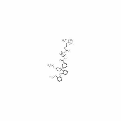 CCc1ccccc1Oc1ccccc1[C@](O)(CCCCOC)[C@@H]1CCCN(C(=O)NC(CO)CN(C)C(=O)OCC[Si](C)(C)C)C1